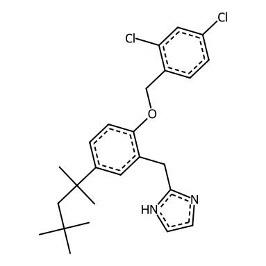 CC(C)(C)CC(C)(C)c1ccc(OCc2ccc(Cl)cc2Cl)c(Cc2ncc[nH]2)c1